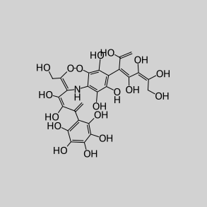 C=C(O)/C(=C(O)\C(O)=C(\O)CO)c1c(O)c(O)c2[nH]c(/C(O)=C(/O)C(=C)c3c(O)c(O)c(O)c(O)c3O)c(CO)ooc2c1O